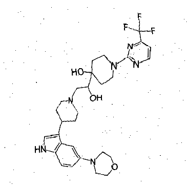 OC(CN1CCC(c2c[nH]c3ccc(N4CCOCC4)cc23)CC1)C1(O)CCN(c2nccc(C(F)(F)F)n2)CC1